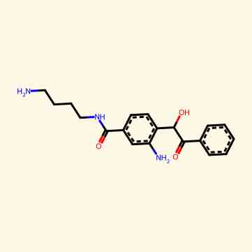 NCCCCNC(=O)c1ccc(C(O)C(=O)c2ccccc2)c(N)c1